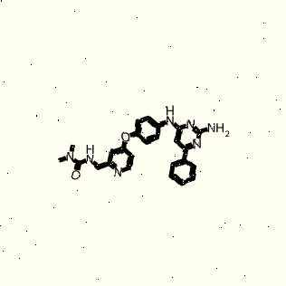 CN(C)C(=O)NCc1cc(Oc2ccc(Nc3cc(-c4ccccc4)nc(N)n3)cc2)ccn1